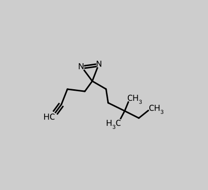 C#CCCC1(CCC(C)(C)CC)N=N1